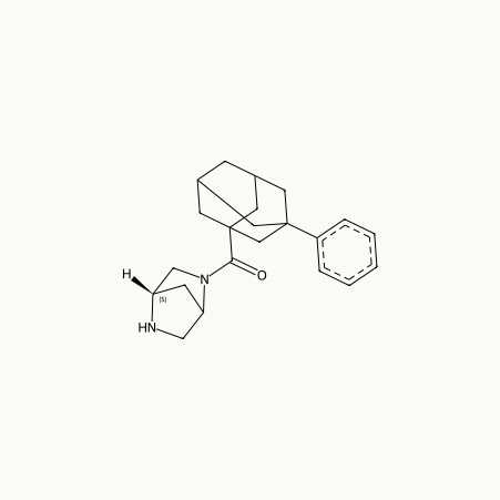 O=C(N1C[C@@H]2CC1CN2)C12CC3CC(C1)CC(c1ccccc1)(C3)C2